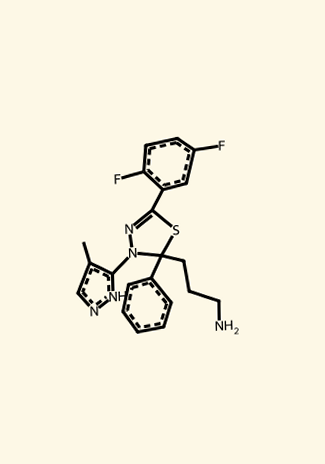 Cc1cn[nH]c1N1N=C(c2cc(F)ccc2F)SC1(CCCN)c1ccccc1